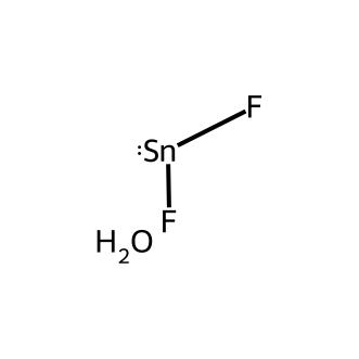 O.[F][Sn][F]